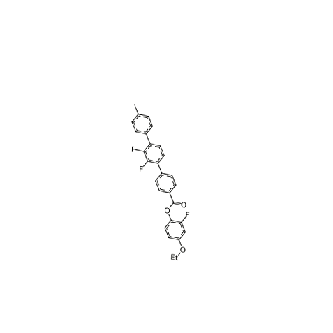 CCOc1ccc(OC(=O)c2ccc(-c3ccc(-c4ccc(C)cc4)c(F)c3F)cc2)c(F)c1